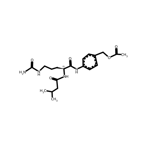 CC(=O)OCc1ccc(NC(=O)[C@H](CCCNC(N)=O)NC(=O)CC(C)C)cc1